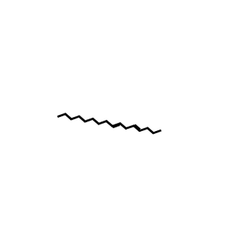 CCC/C=C/C/C=C/CCCCCCCC